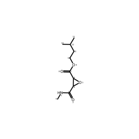 CNC(=O)C1OC1C(=O)OCCC(C)C